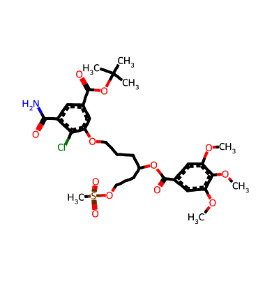 COc1cc(C(=O)OC(CCCOc2cc(C(=O)OC(C)(C)C)cc(C(N)=O)c2Cl)CCOS(C)(=O)=O)cc(OC)c1OC